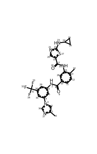 Cc1cn(-c2cc(NC(=O)c3ccc(C)c(NC(=O)c4cnc(NC5CC5)s4)c3)cc(C(F)(F)F)c2)cn1